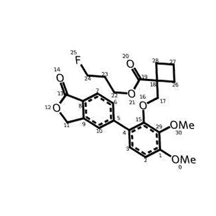 COc1ccc(-c2ccc3c(c2)COC3=O)c(OCC2(C(=O)OCCCF)CCC2)c1OC